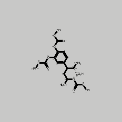 CCCOC(=O)Oc1ccc(C(CC(C)OC(=O)OCCC)[C@H](N)C(=O)O)cc1OC(=O)OCCC